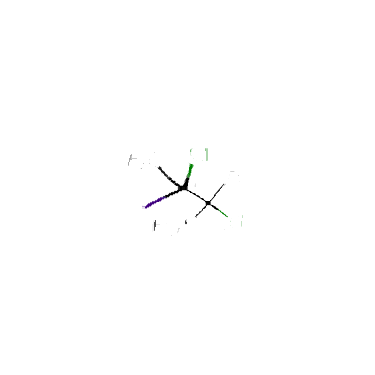 CCC(Cl)(C(F)(F)F)C(Cl)(I)C(F)(F)F